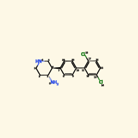 N[C@@H]1CCNC[C@H]1c1ccc(-c2cc(Cl)ccc2Cl)cc1